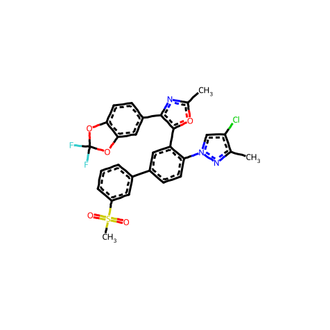 Cc1nc(-c2ccc3c(c2)OC(F)(F)O3)c(-c2cc(-c3cccc(S(C)(=O)=O)c3)ccc2-n2cc(Cl)c(C)n2)o1